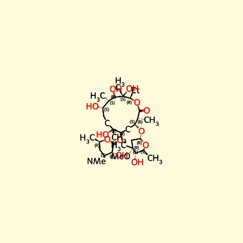 CC[C@H]1OC(=O)[C@H](C)[C@@H](O[C@H]2C[C@@](C)(OC)[C@@H](O)[C@H](C)O2)C[C@@H](O[C@@H]2O[C@H](C)C[C@H](NC)[C@H]2O)[C@](C)(O)CC[C@H](O)[C@H](C)[C@@H](O)[C@]1(C)O